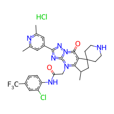 Cc1cc(-c2nc3n(CC(=O)Nc4ccc(C(F)(F)F)cc4Cl)c4c(c(=O)n3n2)C2(CCNCC2)CC4C)cc(C)n1.Cl